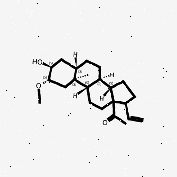 C=CC1CC[C@H]2[C@@H]3CC[C@H]4C[C@H](O)[C@@H](OC)C[C@]4(C)[C@H]3CCC12C(C)=O